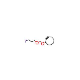 ICCCOCOC1C#CCCCCC1